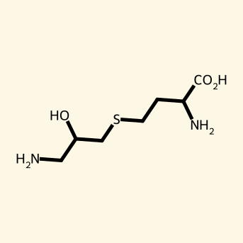 NCC(O)CSCCC(N)C(=O)O